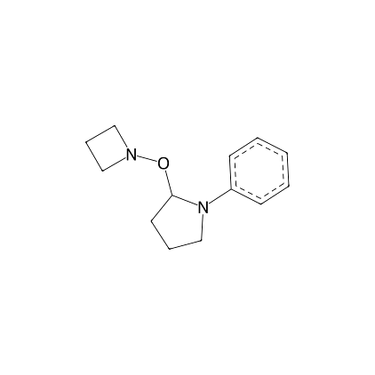 c1ccc(N2CCCC2ON2CCC2)cc1